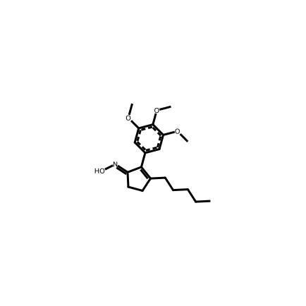 CCCCCC1=C(c2cc(OC)c(OC)c(OC)c2)/C(=N/O)CC1